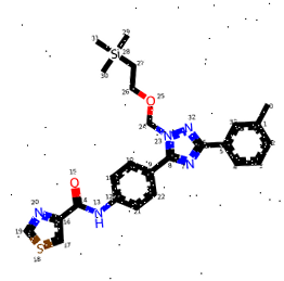 Cc1cccc(-c2nc(-c3ccc(NC(=O)c4cscn4)cc3)n(COCC[Si](C)(C)C)n2)c1